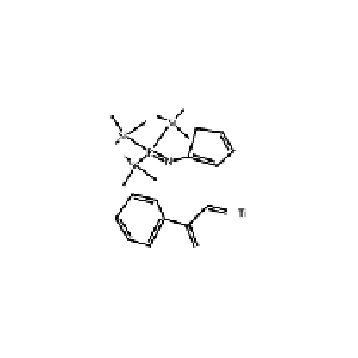 C=CC(=C)c1ccccc1.C[Si](C)(C)P(=NC1=CC=CC1)([Si](C)(C)C)[Si](C)(C)C.[Ti]